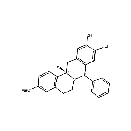 COc1ccc2c(c1)CCN1C(c3ccccc3)c3cc(Cl)c(O)cc3C[C@@H]21